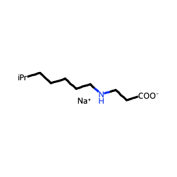 CC(C)CCCCCNCCC(=O)[O-].[Na+]